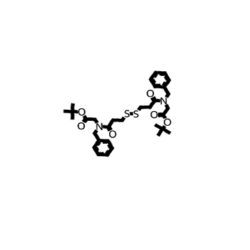 CC(C)(C)OC(=O)CN(Cc1ccccc1)C(=O)CCSSCCC(=O)N(CC(=O)OC(C)(C)C)Cc1ccccc1